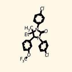 CCC1(C)C(c2cccc(OC(F)(F)F)c2)N(c2ccc(Cl)cc2)C(=O)N1c1ccc(Cl)cc1